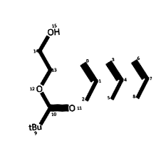 C=CC.C=CC.C=CC.CC(C)(C)C(=O)OCCO